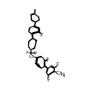 CC1CCC(c2ccc(C3CCC(C(F)(F)Oc4ccc(-c5cc(F)c(C#N)c(F)c5)c(F)c4)CC3)c(F)c2)CC1